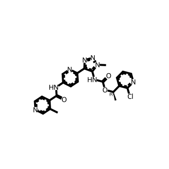 Cc1cnccc1C(=O)Nc1ccc(-c2nnn(C)c2NC(=O)O[C@H](C)c2cccnc2Cl)nc1